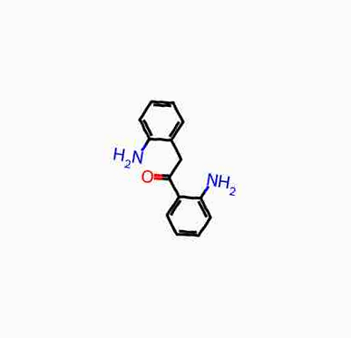 Nc1ccccc1CC(=O)c1ccccc1N